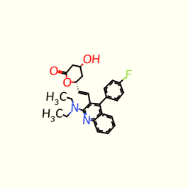 CCN(CC)c1nc2ccccc2c(-c2ccc(F)cc2)c1/C=C/[C@H]1C[C@H](O)CC(=O)O1